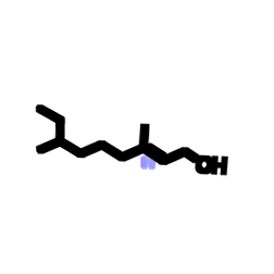 CCC(C)CCC/C(C)=C/CO